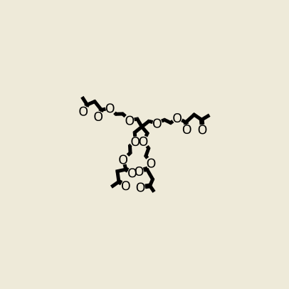 CC(=O)CC(=O)OCCOCC(COCCOC(=O)CC(C)=O)(COCCOC(=O)CC(C)=O)COCCOC(=O)CC(C)=O